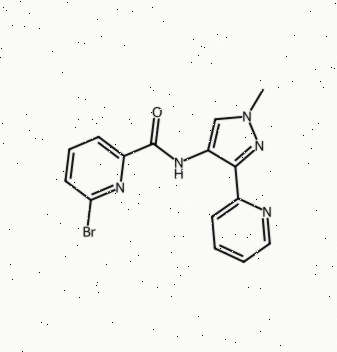 Cn1cc(NC(=O)c2cccc(Br)n2)c(-c2ccccn2)n1